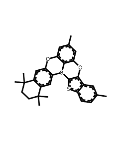 Cc1cc2c3c(c1)Oc1c(sc4ccc(C)cc14)B3c1cc3c(cc1O2)C(C)(C)CCC3(C)C